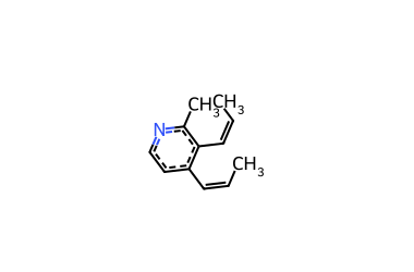 C/C=C\c1ccnc(C)c1/C=C\C